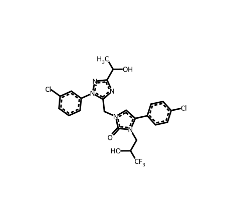 CC(O)c1nc(Cn2cc(-c3ccc(Cl)cc3)n(CC(O)C(F)(F)F)c2=O)n(-c2cccc(Cl)c2)n1